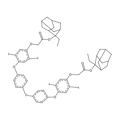 CCC1(OC(=O)COc2cc(I)c(Oc3ccc([I+]c4ccc(Oc5cc(I)c(OCC(=O)OC6(CC)C7CC8CC(C7)CC6C8)cc5I)cc4)cc3)cc2I)C2CC3CC(C2)CC1C3